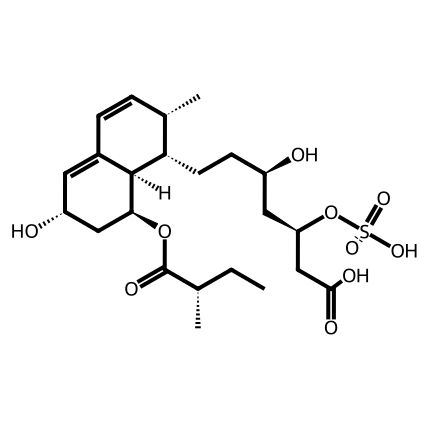 CC[C@H](C)C(=O)O[C@H]1C[C@H](O)C=C2C=C[C@H](C)[C@H](CC[C@@H](O)C[C@H](CC(=O)O)OS(=O)(=O)O)[C@H]21